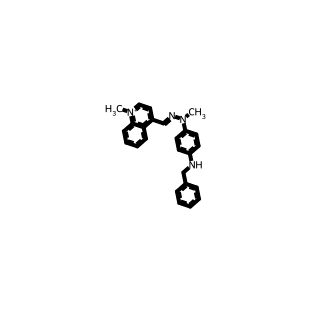 CN(/N=C/c1cc[n+](C)c2ccccc12)c1ccc(NCc2ccccc2)cc1